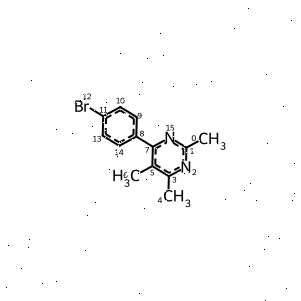 Cc1nc(C)c(C)c(-c2ccc(Br)cc2)n1